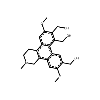 COc1cc2c3c(c4cc(OC)c(CO)c(CO)c4c2cc1CO)CCN(C)C3